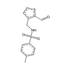 Cc1ccc(S(=O)(=O)NCc2ccsc2C=O)cc1